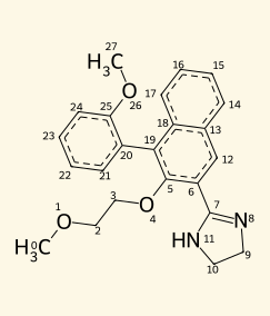 COCCOc1c(C2=NCCN2)cc2ccccc2c1-c1ccccc1OC